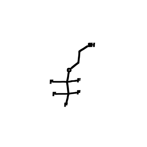 FC(F)(F)C(F)(F)OCCS